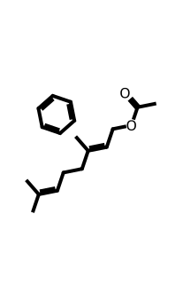 CC(=O)OC/C=C(\C)CCC=C(C)C.c1ccccc1